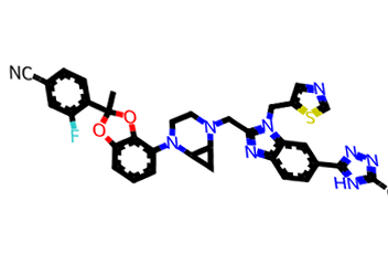 CC1(c2ccc(C#N)cc2F)Oc2cccc(N3CCN(Cc4nc5ccc(-c6nnc(C(F)(F)F)[nH]6)cc5n4Cc4cncs4)C4CC43)c2O1